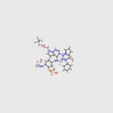 C[C@H](Nc1ncnc2c1c(-c1cc(NS(C)(=O)=O)cc(OS(C)(=O)=O)c1)cn2COCC[Si](C)(C)C)c1nn2cccc2c(=O)n1-c1ccccc1